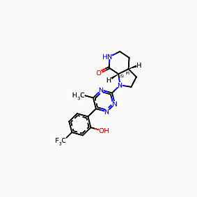 Cc1nc(N2CC[C@H]3CCNC(=O)[C@H]32)nnc1-c1ccc(C(F)(F)F)cc1O